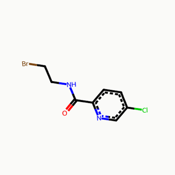 O=C(NCCBr)c1ccc(Cl)cn1